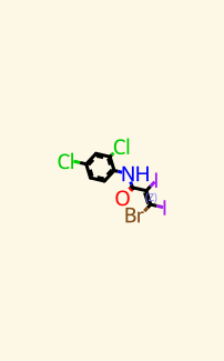 O=C(Nc1ccc(Cl)cc1Cl)/C(I)=C(\Br)I